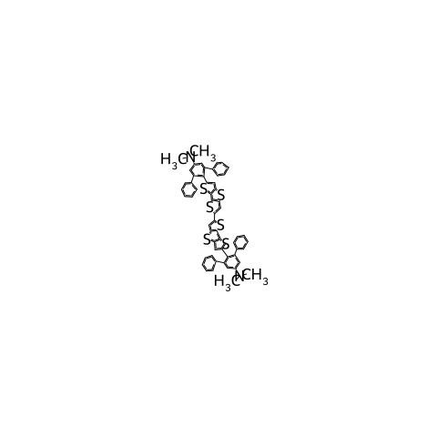 CN(C)c1cc(-c2ccccc2)c(-c2cc3sc4cc(-c5cc6sc7cc(-c8c(-c9ccccc9)cc(N(C)C)cc8-c8ccccc8)sc7c6s5)sc4c3s2)c(-c2ccccc2)c1